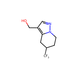 OCc1cnn2c1CC(C(F)(F)F)CC2